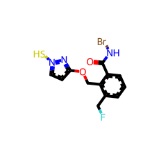 O=C(NBr)c1cccc(CF)c1COc1ccn(S)n1